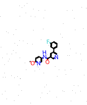 COc1ccc(NC(=O)c2cncc(-c3cccc(F)c3)c2)cn1